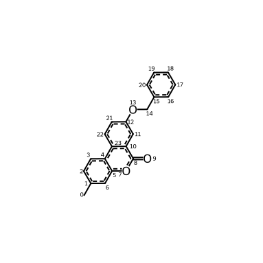 Cc1ccc2c(c1)oc(=O)c1cc(OCc3ccccc3)ccc12